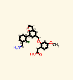 COc1ccc(CC(=O)O)c(OCc2cc(-c3cccc(CN)c3F)c3occc3c2)c1